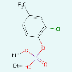 CCOP(=O)(OCC)Oc1ccc(C(F)(F)F)cc1Cl